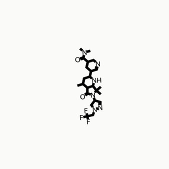 CC1CC(C2C=NCC(C(=O)N(C)C)C2)NC2C1C(=O)N(C1C=NN(CC(F)(F)F)C1)C2(C)C